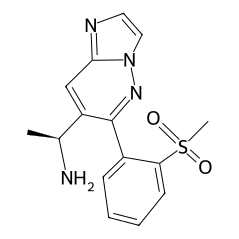 C[C@H](N)c1cc2nccn2nc1-c1ccccc1S(C)(=O)=O